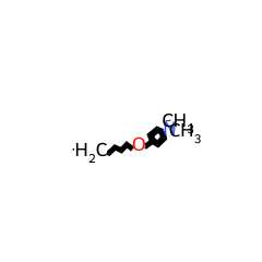 [CH2]CCCCCOCc1ccc(N(C)C)cc1